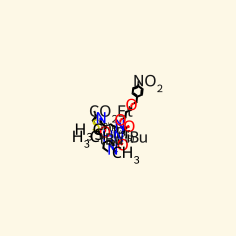 CCOC(=O)c1csc([C@@H](C[C@H](C(C)C)N(OCCCOCc2ccc([N+](=O)[O-])cc2)C(=O)[C@@H](NC(=O)[C@H]2CCCCN2C)[C@@H](C)CC)O[Si](C)(C)C(C)(C)C)n1